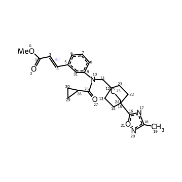 COC(=O)/C=C/c1cccc(N(CC23CCC(c4nc(C)no4)(CC2)CC3)C(=O)C2CC2)c1